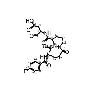 O=CC(CC(=O)O)NC(=O)C1CCCN2C(=O)CCN(NC(=O)c3ccc(F)cc3)C(=O)N12